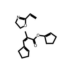 C=CC1=NCCO1.CC(=CC1=CCCC1)C(=O)OC1=CCCC1